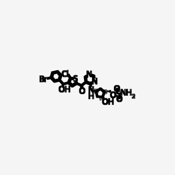 NS(=O)(=O)OC[C@H]1C[C@@H](Nc2ncncc2C(=O)c2cc(C(O)c3cccc(Br)c3)c(Cl)s2)C[C@@H]1O